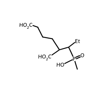 CCC(C(CCCC(=O)O)C(=O)O)P(C)(=O)O